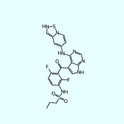 CCCS(=O)(=O)Nc1ccc(F)c(C(=O)c2c[nH]c3ncnc(NC4=CC5=CNSN5C=C4)c23)c1F